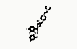 CCN(CC)CCN1CCN(CC2(O)CN(C(=O)c3ccc(F)c(F)c3Nc3ccc(I)cc3F)C2)CC1